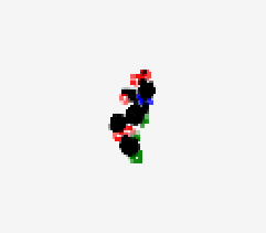 COC(=O)c1ccc2nc(Cc3ccc(-c4cccc5c4OC(c4ccc(Cl)cc4F)O5)cc3F)n(C[C@@H]3CCO3)c2c1